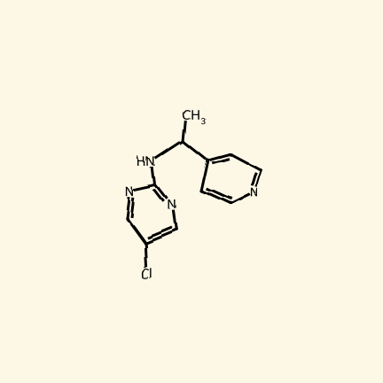 CC(Nc1ncc(Cl)cn1)c1ccncc1